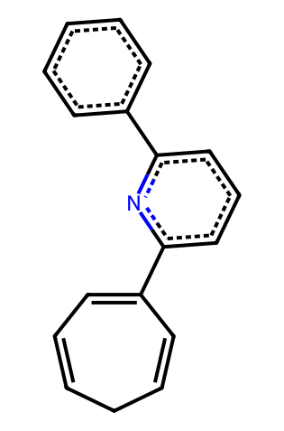 C1=CCC=CC(c2cccc(-c3ccccc3)n2)=C1